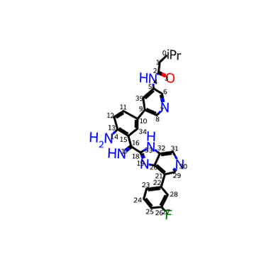 CC(C)CC(=O)Nc1cncc(-c2ccc(N)c(C(=N)c3nc4c(-c5cccc(F)c5)cncc4[nH]3)c2)c1